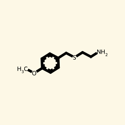 COc1ccc(CSC[CH]N)cc1